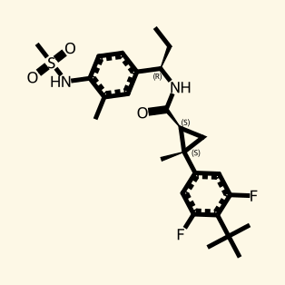 CC[C@@H](NC(=O)[C@H]1C[C@]1(C)c1cc(F)c(C(C)(C)C)c(F)c1)c1ccc(NS(C)(=O)=O)c(C)c1